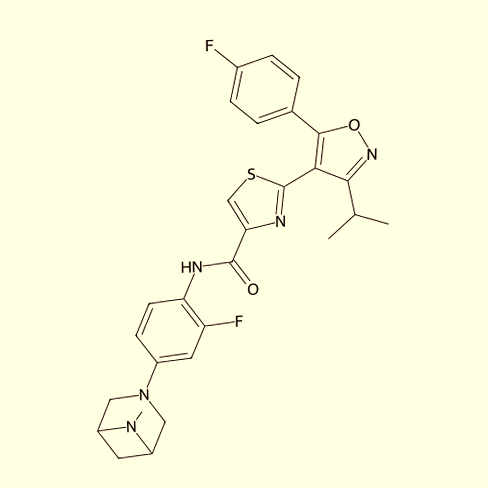 CC(C)c1noc(-c2ccc(F)cc2)c1-c1nc(C(=O)Nc2ccc(N3CC4CC(C3)N4C)cc2F)cs1